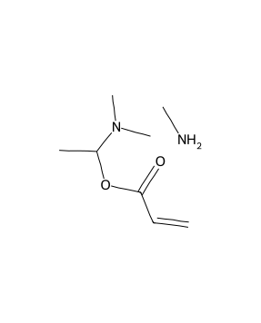 C=CC(=O)OC(C)N(C)C.CN